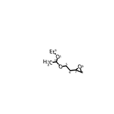 [CH2]COC(C)OCCC1CO1